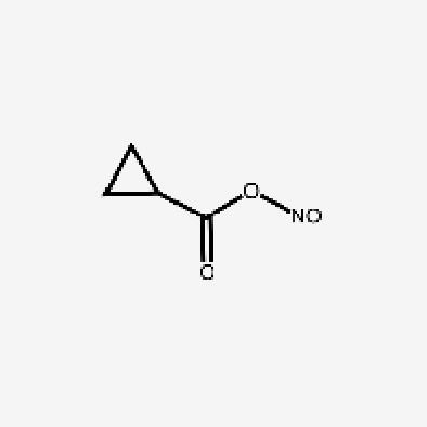 O=NOC(=O)C1CC1